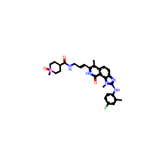 Cc1cc(F)ccc1Nc1nc2ccc3c(C)c(/C=C/CNC(=O)C4CCP(C)(=O)CC4)[nH]c(=O)c3c2n1C